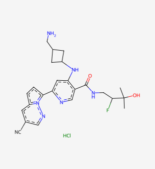 CC(C)(O)C(F)CNC(=O)c1cnc(-c2ccc3cc(C#N)cnn23)cc1NC1CC(CN)C1.Cl